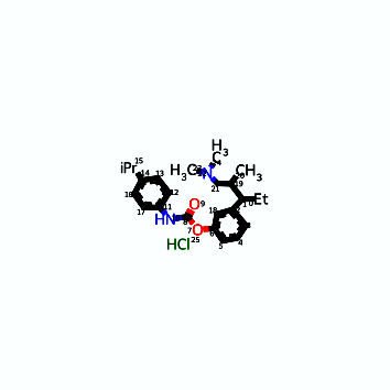 CCC(c1cccc(OC(=O)Nc2ccc(C(C)C)cc2)c1)C(C)CN(C)C.Cl